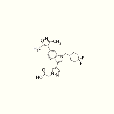 Cc1noc(C)c1-c1cnc2c(-c3cnn(CC(=O)O)c3)cn(CC3CCC(F)(F)CC3)c2c1